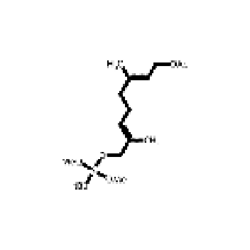 CO[Si](OC)(OCC(C)=CCCC(C)=CCOC(C)=O)C(C)(C)C